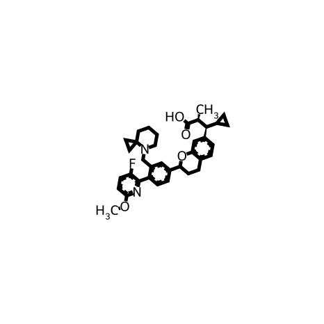 COc1ccc(F)c(-c2ccc(C3CCc4ccc([C@H](C5CC5)[C@H](C)C(=O)O)cc4O3)cc2CN2CCCCC23CC3)n1